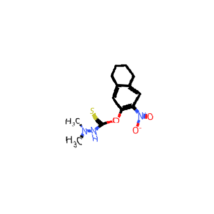 CN(C)NC(=S)Oc1cc2c(cc1[N+](=O)[O-])CCCC2